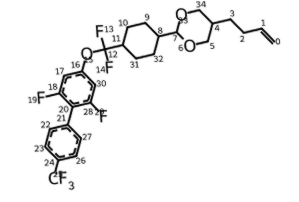 C=CCCC1COC(C2CCC(C(F)(F)Oc3cc(F)c(-c4ccc(C(F)(F)F)cc4)c(F)c3)CC2)OC1